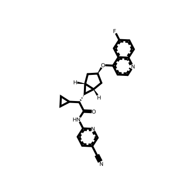 N#Cc1ccc(NC(=O)C(C2CC2)[C@@H]2[C@@H]3C[C@@H](Oc4ccnc5ccc(F)cc45)C[C@@H]32)nc1